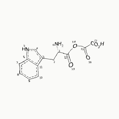 N[C@@H](Cc1c[nH]c2ccccc12)C(=O)OC(=O)C(=O)O